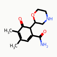 CC1=C(C)C(=O)C(C2CNCCO2)C(C(N)=O)=C1